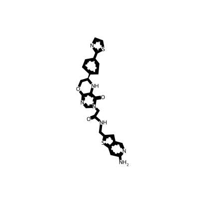 Nc1cc2sc(CNC(=O)Cn3cnc4c(c3=O)N[C@H](c3ccc(-c5nccs5)cc3)CO4)cc2cn1